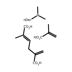 C=C(C)C(=O)O.C=C(CC=C(C)C(=O)O)C(=O)O.CCCCCCCCCCN(C)C